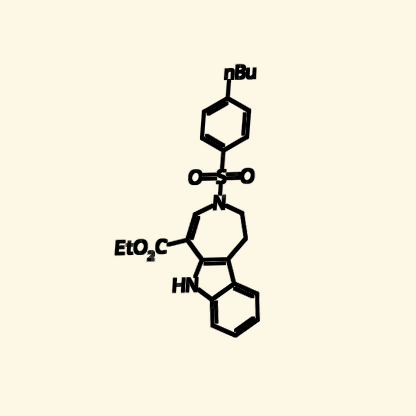 CCCCc1ccc(S(=O)(=O)N2C=C(C(=O)OCC)c3[nH]c4ccccc4c3CC2)cc1